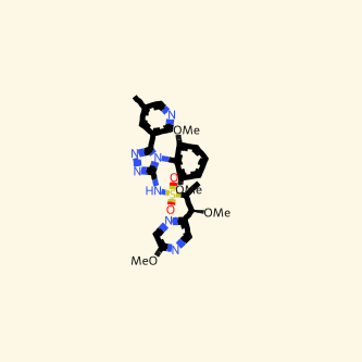 COc1cnc([C@H](OC)C(C)S(=O)(=O)Nc2nnc(-c3cncc(C)c3)n2-c2c(OC)cccc2OC)cn1